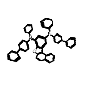 c1ccc(-c2ccc(N(c3ccccc3)c3cc(N(c4ccccc4)c4ccc(-c5ccccc5)cc4)c4oc5ccc6ccccc6c5c4c3)cc2)cc1